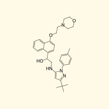 Cc1ccc(-n2nc(C(C)(C)C)cc2NCC(O)c2ccc(OCCN3CCOCC3)c3ccccc23)cc1